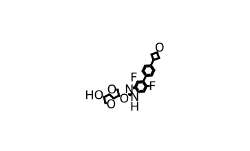 O=C1CC(c2ccc(-c3c(F)cc4[nH]c(OC5COC6C(O)COC56)nc4c3F)cc2)C1